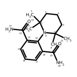 CC1(C)CCCC(C)(C)N1c1c(C(N)=O)cccc1C(N)=O